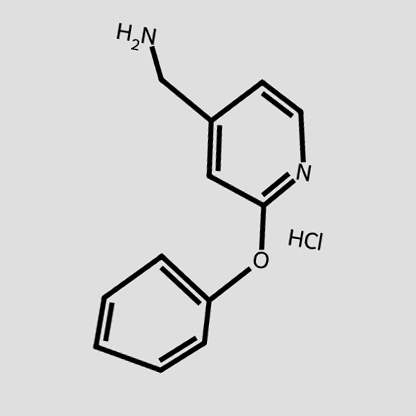 Cl.NCc1ccnc(Oc2ccccc2)c1